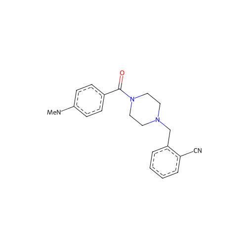 CNc1ccc(C(=O)N2CCN(Cc3ccccc3C#N)CC2)cc1